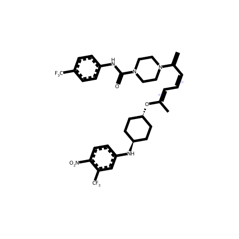 C=C(/C=C\C=C(/C)O[C@H]1CC[C@H](Nc2ccc([N+](=O)[O-])c(C(F)(F)F)c2)CC1)N1CCN(C(=O)Nc2ccc(C(F)(F)F)cc2)CC1